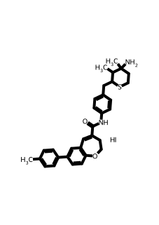 Cc1ccc(-c2ccc3c(c2)C=C(C(=O)Nc2ccc(CC4SCCC(C)(N)C4C)cc2)CCO3)cc1.I